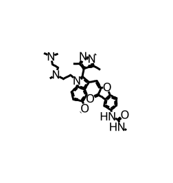 CNC(=O)Nc1ccc2c(c1)C(=O)C(=Cc1c(-c3c(C)nn(C)c3C)n(CCN(C)CCN(C)C)c3ccc(OC)cc13)O2